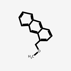 COCc1cccc2cc3ccccc3cc12